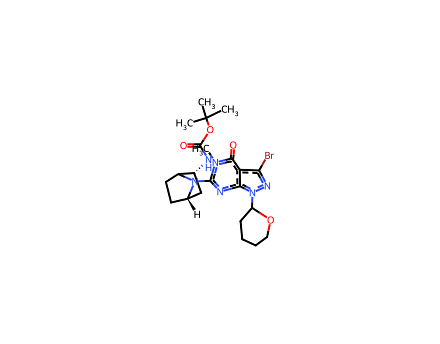 Cn1c(N2C3CC[C@H]2C[C@H]3NC(=O)OC(C)(C)C)nc2c(c(Br)nn2C2CCCCO2)c1=O